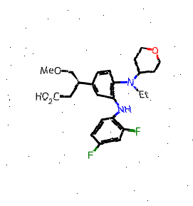 CCN(c1ccc([C@H](COC)CC(=O)O)cc1Nc1ccc(F)cc1F)C1CCOCC1